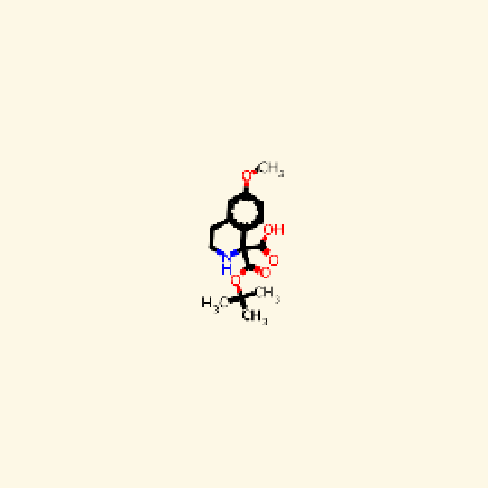 COc1ccc2c(c1)CCNC2(C(=O)O)C(=O)OC(C)(C)C